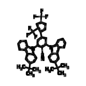 CC(C)(C)c1ccc2c(c1)c1ccccc1n2-c1cc(-c2ccc(C(F)(F)F)cc2C(F)(F)F)cc(-n2c3ccccc3c3cc(C(C)(C)C)ccc32)c1C#N